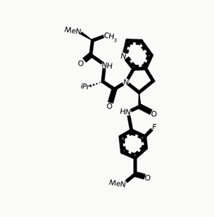 CNC(=O)c1ccc(NC(=O)[C@@H]2Cc3cccnc3N2C(=O)[C@@H](NC(=O)[C@H](C)NC)C(C)C)c(F)c1